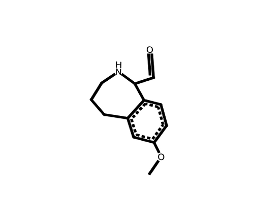 COc1ccc2c(c1)CCCNC2C=O